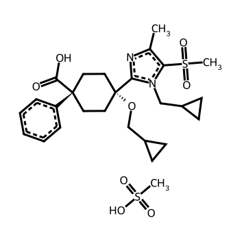 CS(=O)(=O)O.Cc1nc([C@]2(OCC3CC3)CC[C@](C(=O)O)(c3ccccc3)CC2)n(CC2CC2)c1S(C)(=O)=O